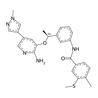 CSc1cc(C(=O)Nc2cccc([C@H](C)Oc3cc(-c4cnn(C)c4)cnc3N)c2)ccc1C